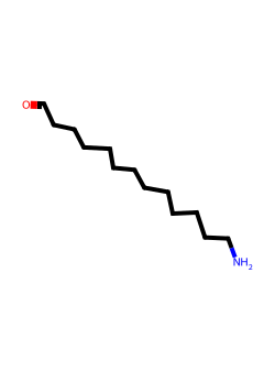 NCCCCCCCCCCCCC=O